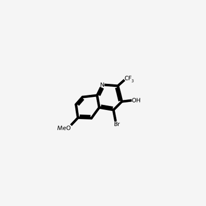 COc1ccc2nc(C(F)(F)F)c(O)c(Br)c2c1